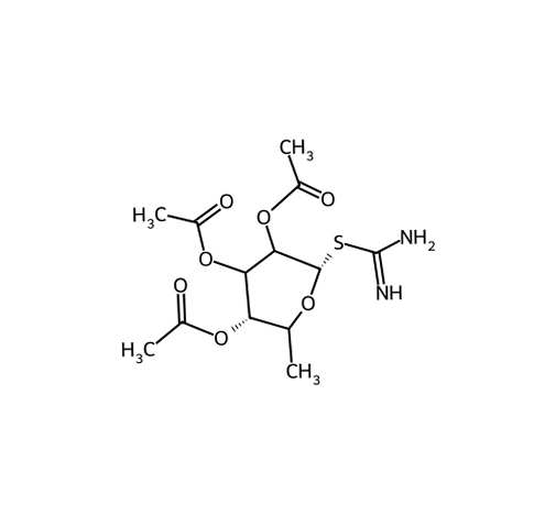 CC(=O)OC1C(OC(C)=O)[C@H](SC(=N)N)OC(C)[C@@H]1OC(C)=O